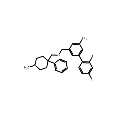 CN1CCC(COCc2cc(-c3ccc(F)cc3F)cc(C(F)(F)F)c2)(c2ccccc2)CC1